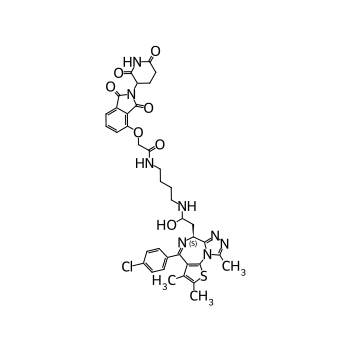 Cc1sc2c(c1C)C(c1ccc(Cl)cc1)=N[C@@H](CC(O)NCCCCNC(=O)COc1cccc3c1C(=O)N(C1CCC(=O)NC1=O)C3=O)c1nnc(C)n1-2